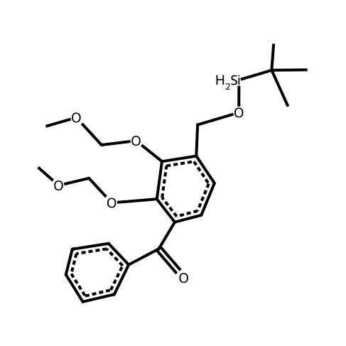 COCOc1c(CO[SiH2]C(C)(C)C)ccc(C(=O)c2ccccc2)c1OCOC